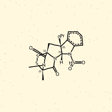 CCC[C@]12C[C@@]34SS[C@@](C)(C(=O)N3[C@H]1N([SH](=O)=O)c1ccccc12)N(C)C4=O